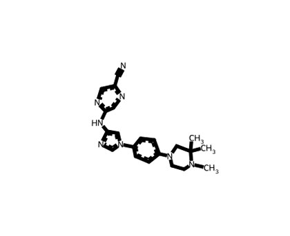 CN1CCN(c2ccc(-n3cnc(Nc4cnc(C#N)cn4)c3)cc2)CC1(C)C